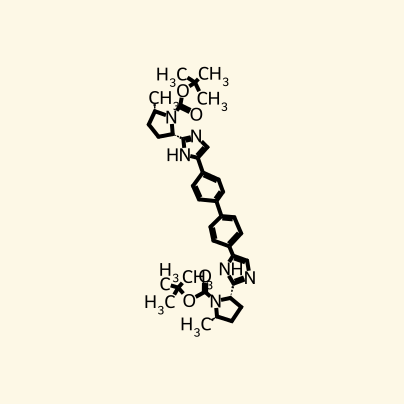 C[C@H]1CC[C@@H](c2ncc(-c3ccc(-c4ccc(-c5cnc([C@@H]6CC[C@H](C)N6C(=O)OC(C)(C)C)[nH]5)cc4)cc3)[nH]2)N1C(=O)OC(C)(C)C